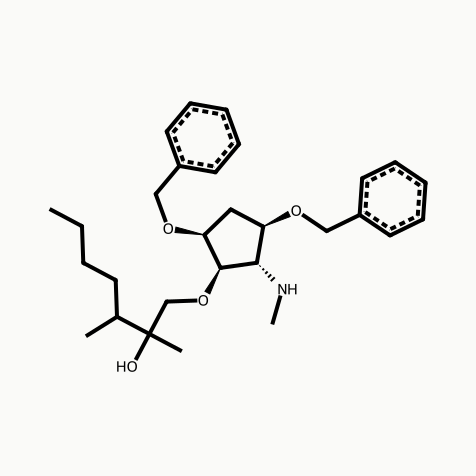 CCCCC(C)C(C)(O)CO[C@@H]1[C@@H](NC)[C@H](OCc2ccccc2)C[C@@H]1OCc1ccccc1